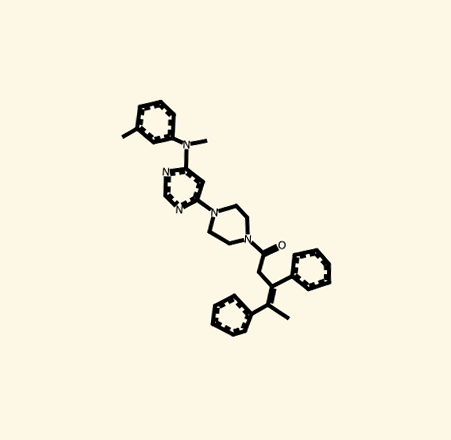 C/C(=C(/CC(=O)N1CCN(c2cc(N(C)c3cccc(C)c3)ncn2)CC1)c1ccccc1)c1ccccc1